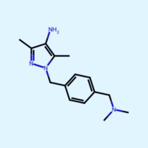 Cc1nn(Cc2ccc(CN(C)C)cc2)c(C)c1N